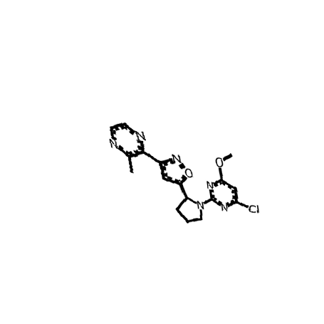 COc1cc(Cl)nc(N2CCCC2c2cc(-c3nccnc3C)no2)n1